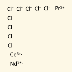 [Ce+3].[Cl-].[Cl-].[Cl-].[Cl-].[Cl-].[Cl-].[Cl-].[Cl-].[Cl-].[Nd+3].[Pr+3]